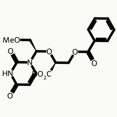 COC[C@@H](O[C@@H](COC(=O)c1ccccc1)C(=O)O)n1ccc(=O)[nH]c1=O